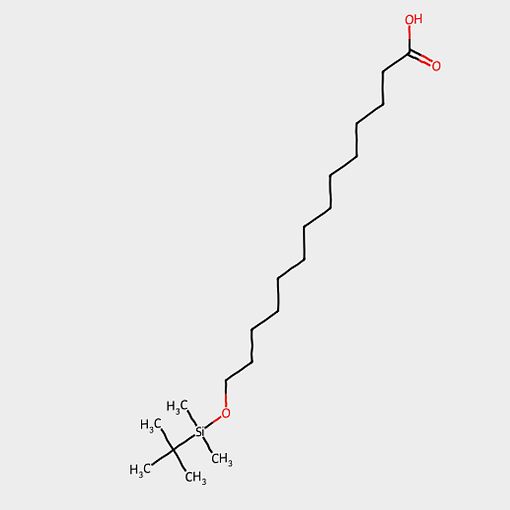 CC(C)(C)[Si](C)(C)OCCCCCCCCCCCCCC(=O)O